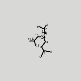 CC(C)CC[SiH](CC(C)C)CC(C)C